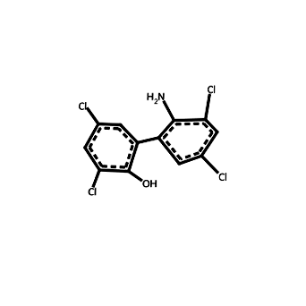 Nc1c(Cl)cc(Cl)cc1-c1cc(Cl)cc(Cl)c1O